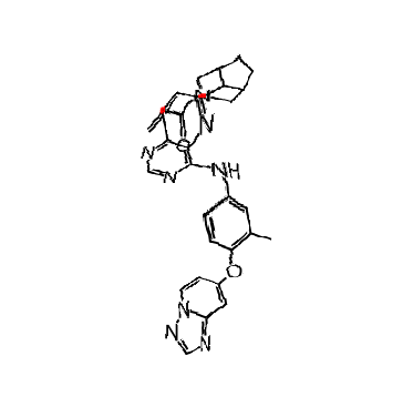 C=CC(=O)N1CC2CCC(C1)C2c1ccc2ncnc(Nc3ccc(Oc4ccn5ncnc5c4)c(C)c3)c2n1